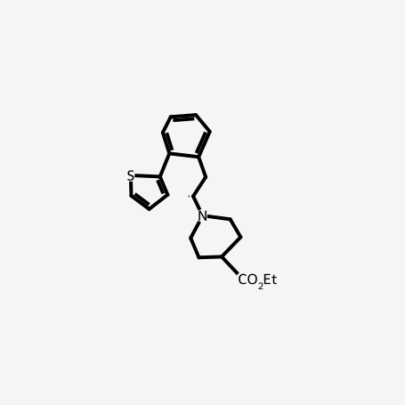 CCOC(=O)C1CCN([CH]Cc2ccccc2-c2cccs2)CC1